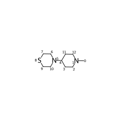 CN1CCC(N2CCSCC2)CC1